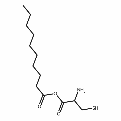 CCCCCCCCCC(=O)OC(=O)C(N)CS